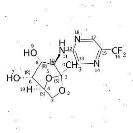 C[C@]12OC[C@H](O1)[C@H](O)[C@H](O)[C@H]2Nc1cnc(C(F)(F)F)cn1